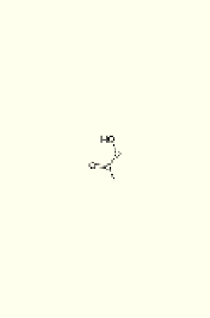 CS(=O)OO